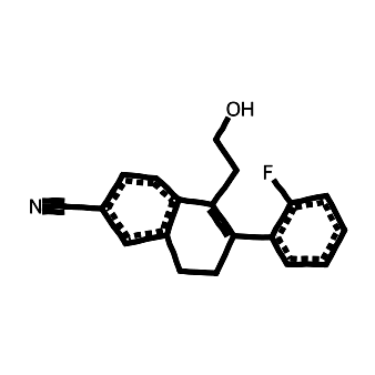 N#Cc1ccc2c(c1)CCC(c1ccccc1F)=C2CCO